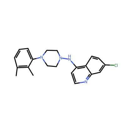 Cc1cccc(N2CCN(Nc3ccnc4cc(Cl)ccc34)CC2)c1C